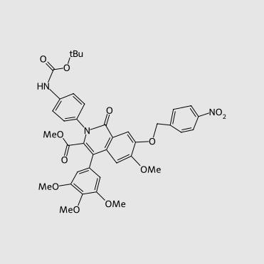 COC(=O)c1c(-c2cc(OC)c(OC)c(OC)c2)c2cc(OC)c(OCc3ccc([N+](=O)[O-])cc3)cc2c(=O)n1-c1ccc(NC(=O)OC(C)(C)C)cc1